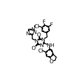 Cn1cnc(Cn2c(=O)nc(Nc3cc4c(cc3Cl)OCC4)n(Cc3cc(F)c(F)c(Cl)c3)c2=O)n1